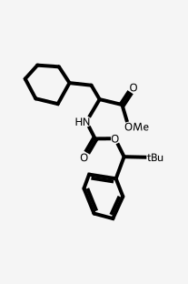 COC(=O)C(CC1CCCCC1)NC(=O)OC(c1ccccc1)C(C)(C)C